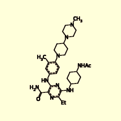 CCc1nc(C(N)=O)c(Nc2ccc(N3CCC(N4CCN(C)CC4)CC3)c(C)c2)nc1NC1CCC(NC(C)=O)CC1